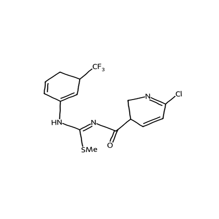 CS/C(=N\C(=O)C1C=CC(Cl)=NC1)NC1=CC(C(F)(F)F)CC=C1